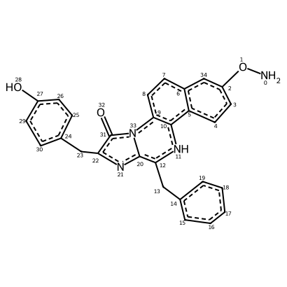 NOc1ccc2c(ccc3c2[nH]c(Cc2ccccc2)c2nc(Cc4ccc(O)cc4)c(=O)n3-2)c1